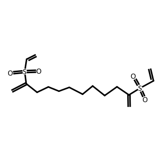 C=CS(=O)(=O)C(=C)CCCCCCCCC(=C)S(=O)(=O)C=C